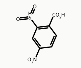 O=C(O)c1ccc([N+](=O)[O-])cc1[SH](=O)=O